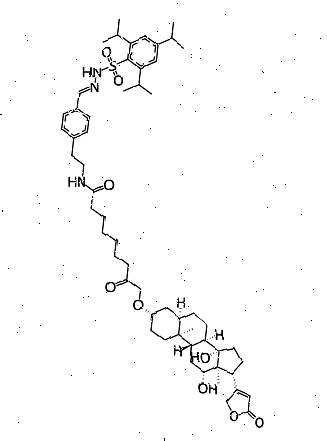 CC(C)c1cc(C(C)C)c(S(=O)(=O)NN=Cc2ccc(CCNC(=O)CCCCCCC(=O)CO[C@H]3CC[C@@]4(C)[C@H](CC[C@@H]5[C@@H]4C[C@@H](O)[C@]4(C)[C@@H](C6=CC(=O)OC6)CC[C@]54O)C3)cc2)c(C(C)C)c1